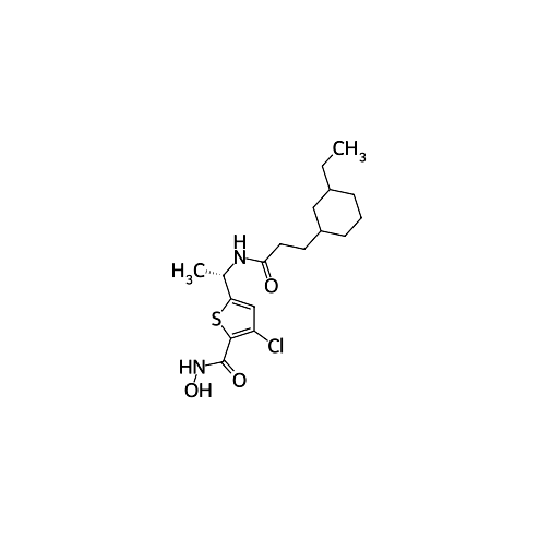 CCC1CCCC(CCC(=O)N[C@@H](C)c2cc(Cl)c(C(=O)NO)s2)C1